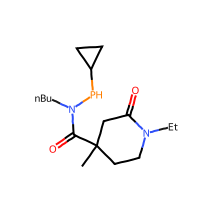 CCCCN(PC1CC1)C(=O)C1(C)CCN(CC)C(=O)C1